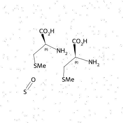 CSC[C@H](N)C(=O)O.CSC[C@H](N)C(=O)O.O=S